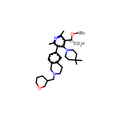 Cc1nc(C)c([C@H](OC(C)(C)C)C(=O)O)c(N2CCC(C)(C)CC2)c1-c1ccc2c(c1)CCN(CC1CCCOC1)C2